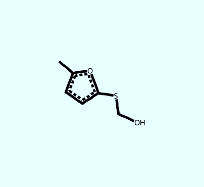 Cc1ccc(SCO)o1